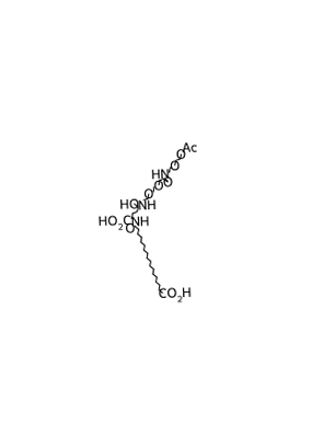 CC(=O)COCCOCCNC(=O)COCCOCCNC(O)CC[C@H](NC(=O)CCCCCCCCCCCCCCCCC(=O)O)C(=O)O